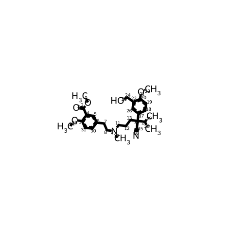 COC(=O)c1cc(CCN(C)CCCC(C#N)(c2ccc(OC)c(CO)c2)C(C)C)ccc1OC